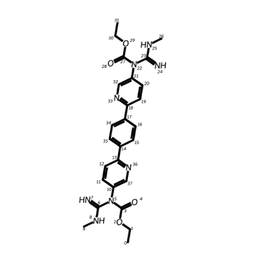 CCOC(=O)N(C(=N)NC)c1ccc(-c2ccc(-c3ccc(N(C(=N)NC)C(=O)OCC)cn3)cc2)nc1